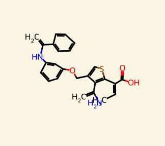 C=C(Nc1cccc(OCc2csc(/C(=C\C)C(=O)O)c2C(=C)N)c1)c1ccccc1